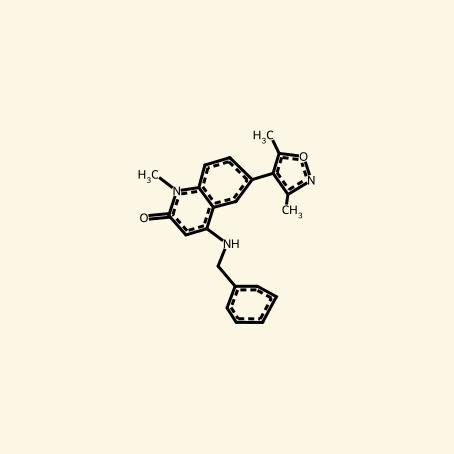 Cc1noc(C)c1-c1ccc2c(c1)c(NCc1ccccc1)cc(=O)n2C